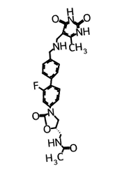 CC(=O)NC[C@H]1CN(c2ccc(-c3ccc(CNCc4c(C)[nH]c(=O)[nH]c4=O)cc3)c(F)c2)C(=O)O1